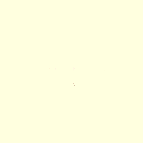 C=CC(=O)N1CCN(c2cc(F)cc(Cl)c2)[C@@H](C)C1